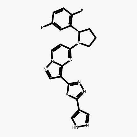 Fc1ccc(F)c([C@H]2CCCN2c2ccn3ncc(-c4nnc(-c5cn[nH]c5)s4)c3n2)c1